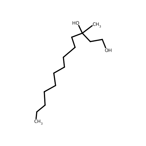 CCCCCCCCCCC(C)(O)CCO